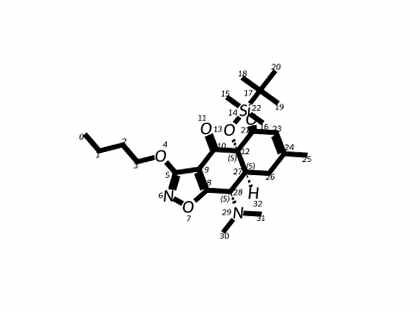 CCCCOc1noc2c1C(=O)[C@@]1(O[Si](C)(C)C(C)(C)C)C(=O)C=C(C)C[C@H]1[C@@H]2N(C)C